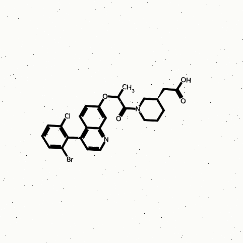 CC(Oc1ccc2c(-c3c(Cl)cccc3Br)ccnc2c1)C(=O)N1CCC[C@H](CC(=O)O)C1